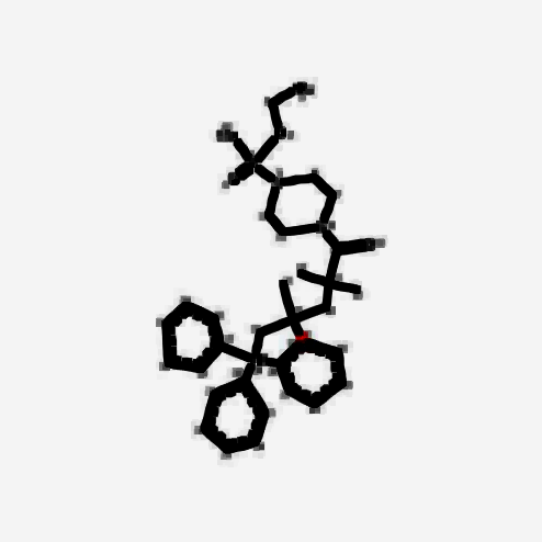 CC(C)(C)COP(=O)(N1CCN(C(=O)C(C)(C)CC(C)(C)C[PH](c2ccccc2)(c2ccccc2)c2ccccc2)CC1)C(C)(C)C